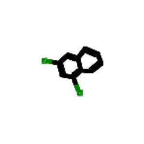 Clc1[c]c(Cl)c2ccccc2c1